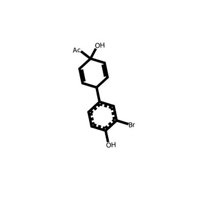 CC(=O)C1(O)C=CC(c2ccc(O)c(Br)c2)C=C1